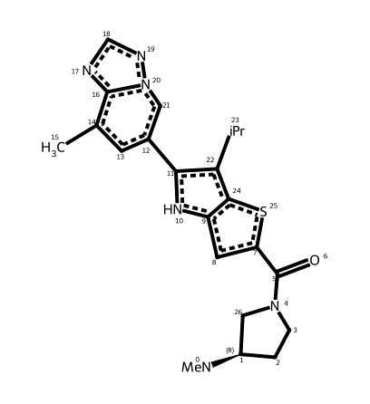 CN[C@@H]1CCN(C(=O)c2cc3[nH]c(-c4cc(C)c5ncnn5c4)c(C(C)C)c3s2)C1